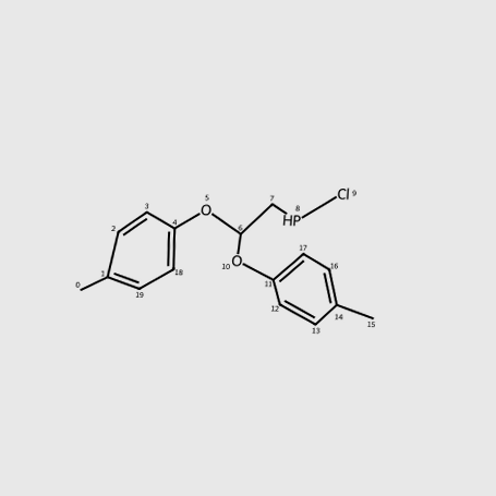 Cc1ccc(OC(CPCl)Oc2ccc(C)cc2)cc1